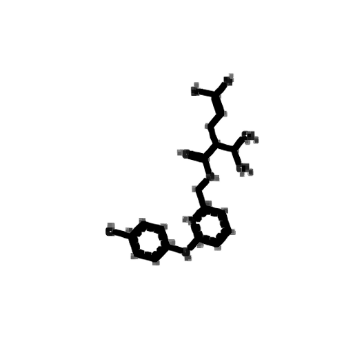 CC(C)C(CC=C(Br)Br)C(=O)OCc1cccc(Oc2ccc(Cl)cc2)n1